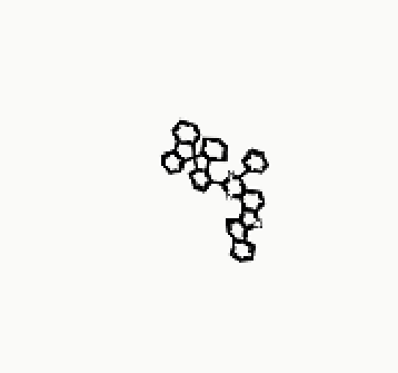 c1ccc(-c2nc(-c3cccc4c3-c3ccccc3C43c4ccccc4-c4ccccc43)nc3c2ccc2oc4c5ccccc5ccc4c23)cc1